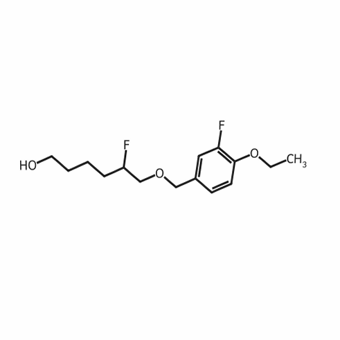 CCOc1ccc(COCC(F)CCCCO)cc1F